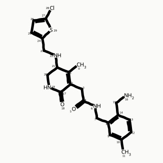 CC1=C(CC(=O)NCc2cc(C)ccc2CN)C(=O)NCC1NCc1ccc(Cl)s1